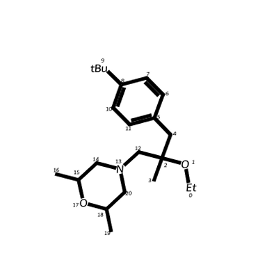 CCOC(C)(Cc1ccc(C(C)(C)C)cc1)CN1CC(C)OC(C)C1